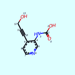 O=C(O)Nc1cnccc1C#CCO